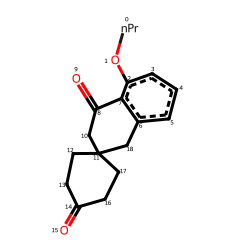 CCCOc1cccc2c1C(=O)CC1(CCC(=O)CC1)C2